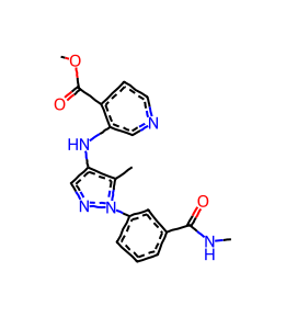 CNC(=O)c1cccc(-n2ncc(Nc3cnccc3C(=O)OC)c2C)c1